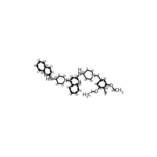 CCOc1cc(CN2CCC(Nc3cc(N4CCC(Nc5ccc6ccccc6n5)CC4)c4ccccc4n3)CC2)cc(OCC)c1F